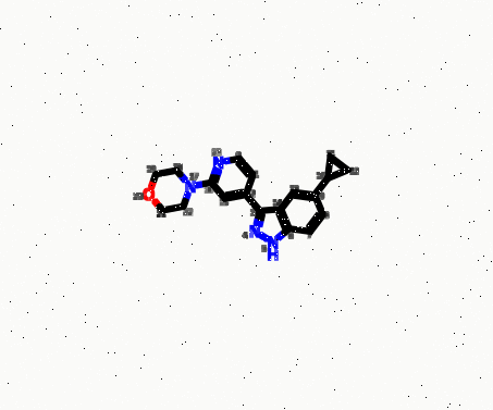 c1cc(-c2n[nH]c3ccc(C4CC4)cc23)cc(N2CCOCC2)n1